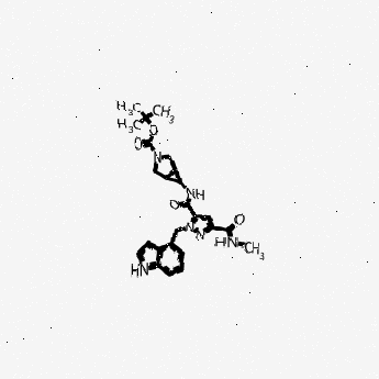 CNC(=O)c1cc(C(=O)NC2C3CN(C(=O)OC(C)(C)C)CC32)n(Cc2cccc3[nH]ccc23)n1